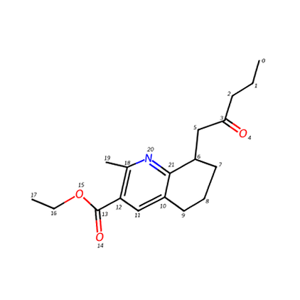 CCCC(=O)CC1CCCc2cc(C(=O)OCC)c(C)nc21